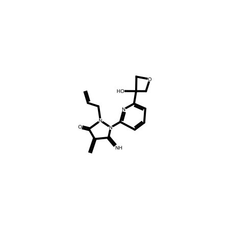 C=CCN1C(=O)C(=C)C(=N)N1c1cccc(C2(O)COC2)n1